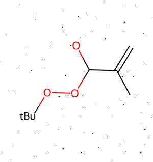 C=C(C)C([O])OOC(C)(C)C